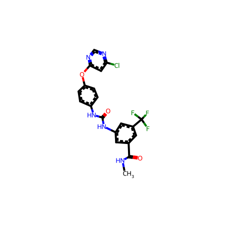 CNC(=O)c1cc(NC(=O)Nc2ccc(Oc3cc(Cl)ncn3)cc2)cc(C(F)(F)F)c1